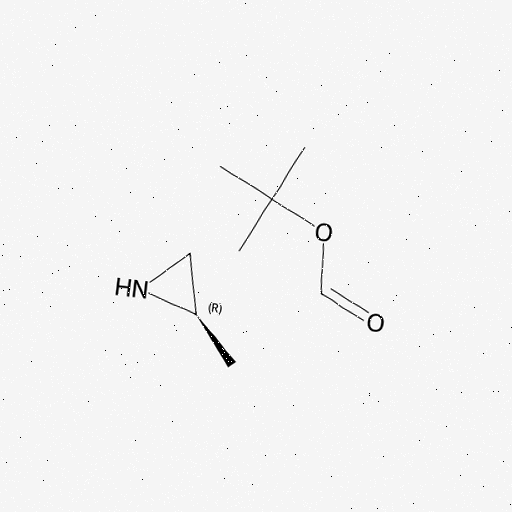 CC(C)(C)OC=O.C[C@@H]1CN1